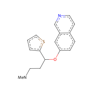 CNCCC(Oc1ccc2ccncc2c1)c1cccs1